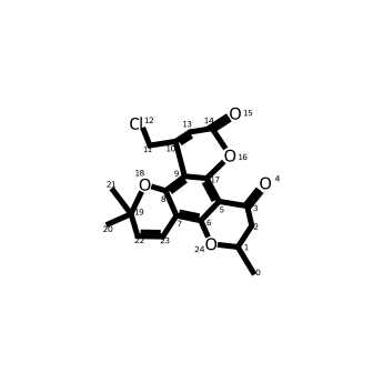 CC1CC(=O)c2c(c3c(c4c(CCl)cc(=O)oc24)OC(C)(C)C=C3)O1